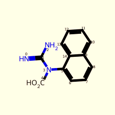 N=C(N)N(C(=O)O)c1cccc2ccccc12